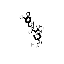 COc1ccn2c(C(=O)NCc3ccc(Cl)c(Cl)c3)c(C)nc2c1